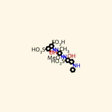 COc1cc(/N=N/c2cc(S(=O)(=O)O)cc3cc(S(=O)(=O)O)cc(O)c23)c(C)cc1/N=N/c1c(S(=O)(=O)O)cc2cc(Nc3ccccc3)ccc2c1O